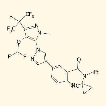 CC(C)N(C(=O)c1cc(-c2cnn(-c3c(OC(F)F)c(C(F)(C(F)(F)F)C(F)(F)F)nn3C)c2)ccc1Cl)C1(C#N)CC1